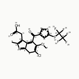 COC1=C(Cl)CC2=NC(C)=C(CC(=O)O)C2=C1C(=O)c1csc(SC(F)(F)C(F)(F)F)c1